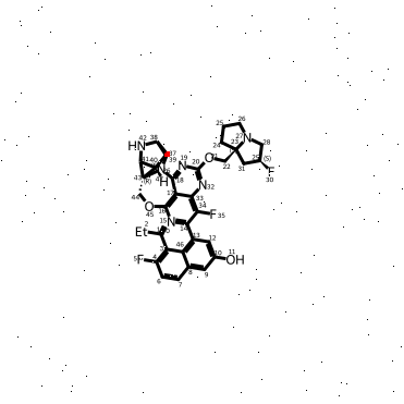 C=C(CC)c1c(F)ccc2cc(O)cc(-c3nc4c5c(nc(OC[C@@]67CCCN6C[C@@H](F)C7)nc5c3F)N3CC5C[C@H]6C(N5)[C@@]63CO4)c12